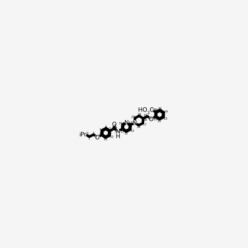 CC(C)CCOc1ccc(C(=O)Nc2ccc(N3CCC(COc4ccccc4C(=O)O)CC3)nc2)cc1